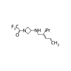 C=C/C=C(/CNC1CN(C(=O)C(F)(F)F)C1)C(C)C